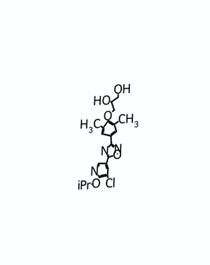 Cc1cc(-c2noc(-c3cnc(OC(C)C)c(Cl)c3)n2)cc(C)c1OC[C@H](O)CO